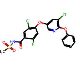 CS(=O)(=O)NC(=O)c1cc(Cl)c(Oc2cnc(Oc3ccccc3)c(Cl)c2)cc1F